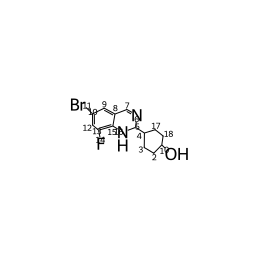 OC1CCC(C2N=Cc3cc(Br)cc(F)c3N2)CC1